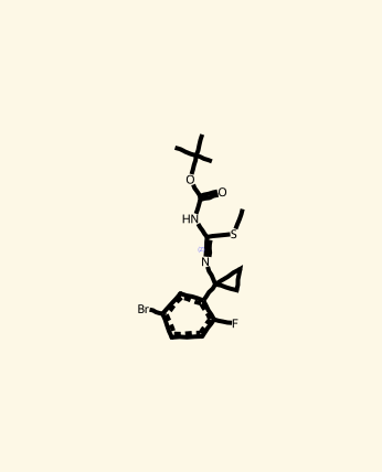 CS/C(=N\C1(c2cc(Br)ccc2F)CC1)NC(=O)OC(C)(C)C